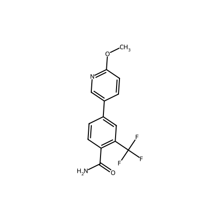 COc1ccc(-c2ccc(C(N)=O)c(C(F)(F)F)c2)cn1